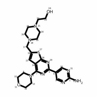 Nc1ncc(-c2nc(N3CCOCC3)c3cc(CN4CCN(CCO)CC4)sc3n2)cn1